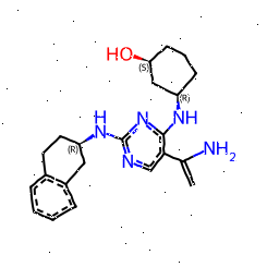 C=C(N)c1cnc(N[C@@H]2CCc3ccccc3C2)nc1N[C@@H]1CCC[C@H](O)C1